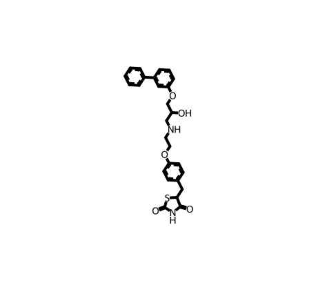 O=C1NC(=O)C(Cc2ccc(OCCNCC(O)COc3cccc(-c4ccccc4)c3)cc2)S1